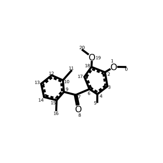 COc1cc(C)c(C(=O)c2c(C)cccc2C)cc1OC